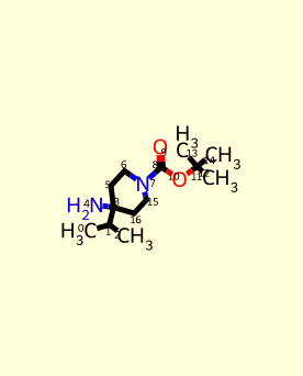 CC(C)C1(N)CCN(C(=O)OC(C)(C)C)CC1